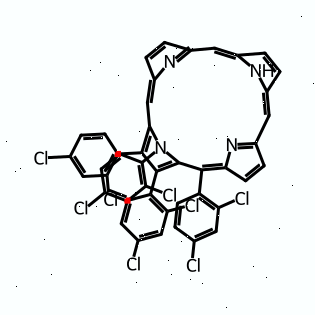 Clc1ccc(-c2c(-c3ccc(Cl)cc3Cl)c3c(-c4ccc(Cl)cc4Cl)c4nc(cc5ccc(cc6nc(cc2n3-c2ccc(Cl)cc2Cl)C=C6)[nH]5)C=C4)c(Cl)c1